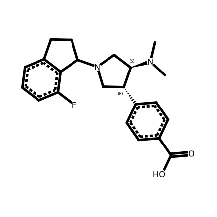 CN(C)[C@@H]1CN(C2CCc3cccc(F)c32)C[C@H]1c1ccc(C(=O)O)cc1